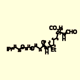 CCC(C)(CCCC[C@H](NC=O)C(=O)O)NC(=O)CCOCCOCCC(C)C